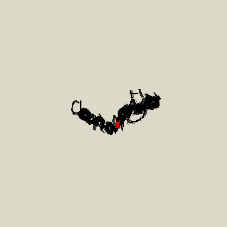 Cc1ccc(C(=O)Nc2ccc3c(c2)nc(CN2CCC(Oc4ccnc(Cc5ccc(Cl)cc5)n4)CC2)n3C)cn1